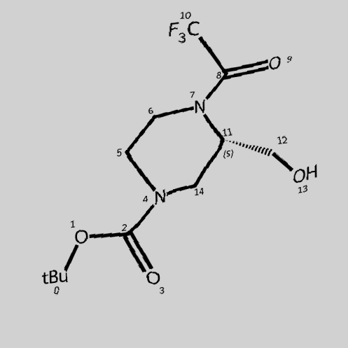 CC(C)(C)OC(=O)N1CCN(C(=O)C(F)(F)F)[C@H](CO)C1